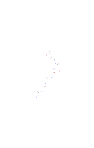 NCC(=O)NCC(=O)NCC(=O)NCC(=O)N[C@@H](CO)C(=O)NCC(=O)N[C@@H](CO)C(=O)O